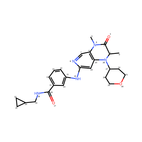 CC1C(=O)N(C)c2cnc(Nc3cccc(C(=O)NCC4CC4)c3)cc2N1C1CCOCC1